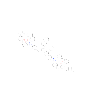 CC(C)c1cccc2c1oc1c(N(c3ccccc3)c3ccc4cc5c(cc4c3)C3(c4cc6cc(N(c7ccccc7)c7cccc8c7oc7c(C(C)C)cccc78)ccc6cc4-5)c4ccccc4-c4c3ccc3ccccc43)cccc12